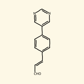 O=C/C=C/c1ccc(-c2cncnc2)cc1